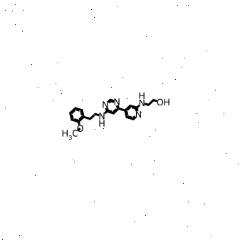 COc1ccccc1CCNc1cc(-c2ccnc(NCCO)c2)ncn1